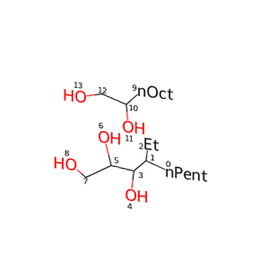 CCCCCC(CC)C(O)C(O)CO.CCCCCCCCC(O)CO